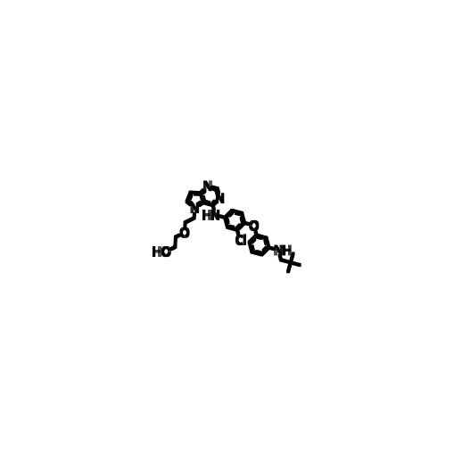 CC(C)(C)CNc1cccc(Oc2ccc(Nc3ncnc4ccn(CCOCCO)c34)cc2Cl)c1